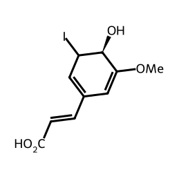 COC1=CC(/C=C/C(=O)O)=CC(I)[C@H]1O